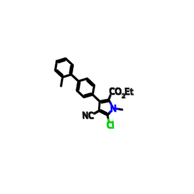 CCOC(=O)c1c(-c2ccc(-c3ccccc3C)cc2)c(C#N)c(Cl)n1C